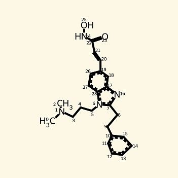 CN(C)CCCn1c(CCc2ccccc2)nc2cc(/C=C/C(=O)NO)ccc21